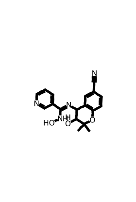 CC1(C)Oc2ccc(C#N)cc2C(N=C(NO)c2cccnc2)C1O